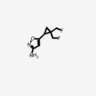 Nc1cc(C2CC2(CF)CF)on1